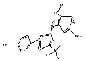 CCOc1cnc(NC(C)=O)cc1Nc1cc(-c2ccc(CC)nc2)nc(C(C)(F)F)n1